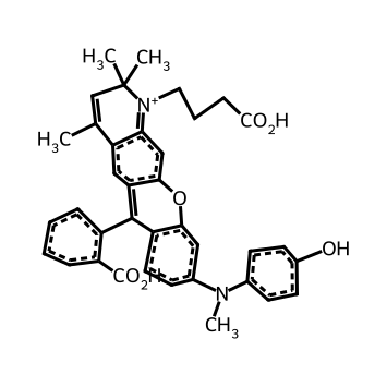 CC1=CC(C)(C)[N+](CCCC(=O)O)=c2cc3c(cc21)=C(c1ccccc1C(=O)O)c1ccc(N(C)c2ccc(O)cc2)cc1O3